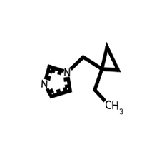 CCC1(Cn2ccnc2)CC1